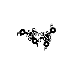 CC(C)[S+]([O-])c1sc(C2=CC=CC(C)(F)C2)nc1S(=O)(=O)c1ccc(I)c(OCC[S+]([O-])c2sc(-c3cccc(F)c3)nc2S(=O)(=O)c2ccc(F)cc2)c1